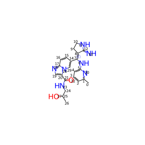 Cc1cccc(N/C(=C2/CCNC2=N)c2ccc3ncc(C(=O)NCC(C)O)n3c2)n1